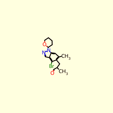 Cc1cc2c(cnn2C2CCCCO2)c(Br)c1CC(C)C=O